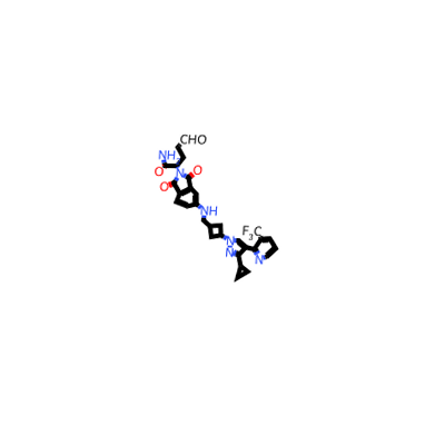 NC(=O)C(CCC=O)N1C(=O)c2ccc(NCC3CC(n4cc(-c5ncccc5C(F)(F)F)c(C5CC5)n4)C3)cc2C1=O